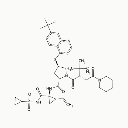 C=C[C@@H]1C[C@]1(NC(=O)[C@@H]1C[C@@H](Sc2ccnc3cc(C(F)(F)F)ccc23)CN1C(=O)[C@@H](CC(=O)N1CCCCC1)C(C)(C)C)C(=O)NS(=O)(=O)C1CC1